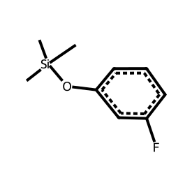 C[Si](C)(C)Oc1cccc(F)c1